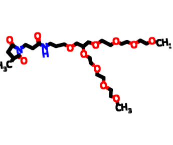 COCCOCCOCCOCC(COCCCNC(=O)CCN1C(=O)CC(C)C1=O)OCCOCCOCCOC